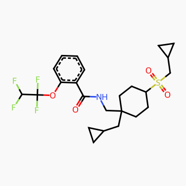 O=C(NCC1(CC2CC2)CCC(S(=O)(=O)CC2CC2)CC1)c1ccccc1OC(F)(F)C(F)F